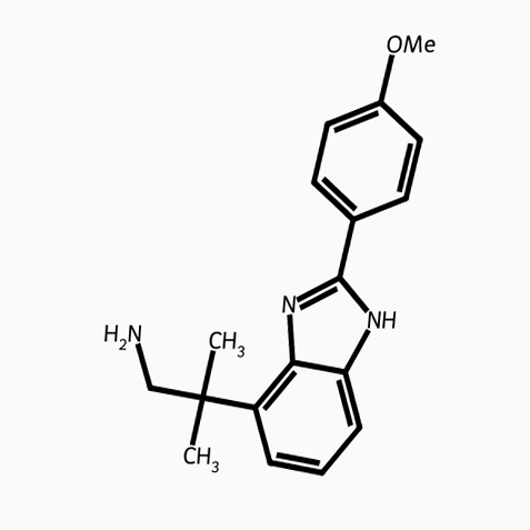 COc1ccc(-c2nc3c(C(C)(C)CN)cccc3[nH]2)cc1